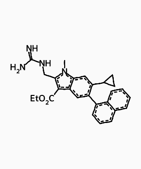 CCOC(=O)c1c(CNC(=N)N)n(C)c2cc(C3CC3)c(-c3cccc4ccccc34)cc12